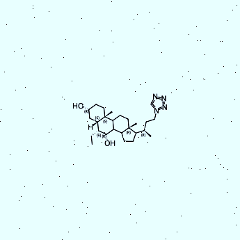 CC[C@H]1[C@@H](O)C2C3CCC([C@H](C)CCn4cnnn4)[C@@]3(C)CCC2[C@@]2(C)CC[C@@H](O)C[C@@H]12